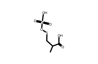 CC(CSOS(=O)(=O)O)C(=O)O